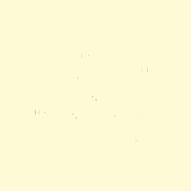 C=Cn1cc[n+](C(CCC)S(=O)(=O)O)c1.F[B-](F)(F)F